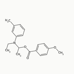 CCN(c1cccc(C)c1)C(C)OC(=O)c1ccc(OC)cc1